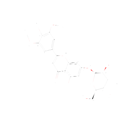 COc1cc(-c2cc(=O)c3c(O)cc(O[C@@H]4O[C@H](CO)[C@@H](O)[C@@H](O)[C@@H]4O)cc3o2)cc(OC)c1O